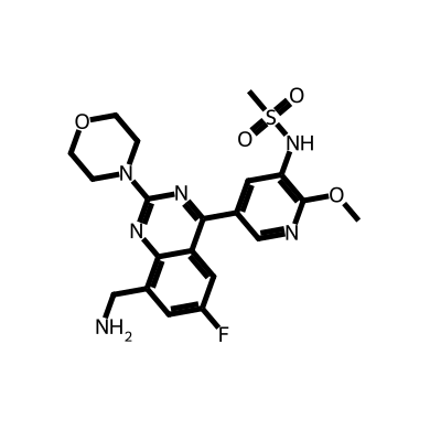 COc1ncc(-c2nc(N3CCOCC3)nc3c(CN)cc(F)cc23)cc1NS(C)(=O)=O